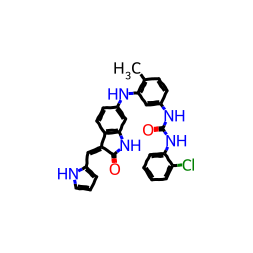 Cc1ccc(NC(=O)Nc2ccccc2Cl)cc1Nc1ccc2c(c1)NC(=O)/C2=C\c1ccc[nH]1